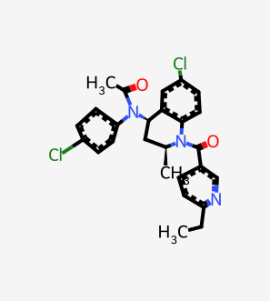 CCc1ccc(C(=O)N2c3ccc(Cl)cc3[C@H](N(C(C)=O)c3ccc(Cl)cc3)C[C@@H]2C)cn1